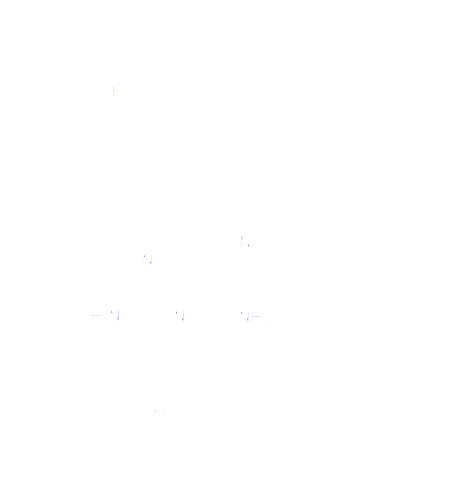 NC1c2nc(-c3ccc(F)cc3)ccc2N(Cc2ccc(F)cc2)C(N)N1C1CCOC1